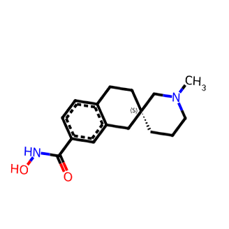 CN1CCC[C@]2(CCc3ccc(C(=O)NO)cc3C2)C1